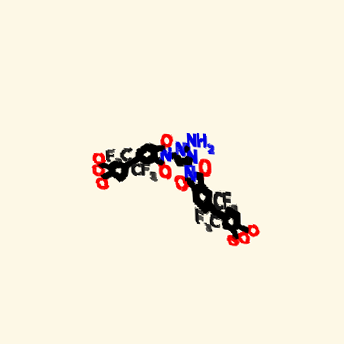 Nc1nc(N2C(=O)c3ccc(C(c4ccc5c(c4)C(=O)OC5=O)(C(F)(F)F)C(F)(F)F)cc3C2=O)cc(N2C(=O)c3ccc(C(c4ccc5c(c4)C(=O)OC5=O)(C(F)(F)F)C(F)(F)F)cc3C2=O)n1